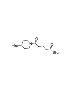 CC(C)(C)C(=O)CCCC(=O)N1CCC(C(C)(C)C)CC1